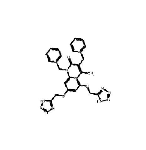 Cc1c(Cc2ccccc2)c(=O)n(Cc2ccccc2)c2cc(OCc3nnn[nH]3)cc(OCc3nnn[nH]3)c12